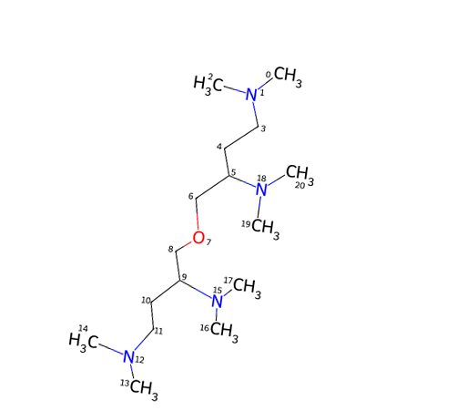 CN(C)CCC(COCC(CCN(C)C)N(C)C)N(C)C